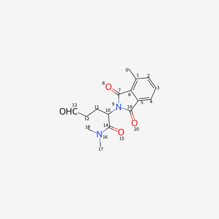 Cc1cccc2c1C(=O)N(C(CCC=O)C(=O)N(C)C)C2=O